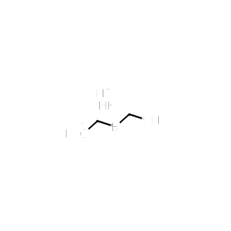 CC[B]CC.F.F